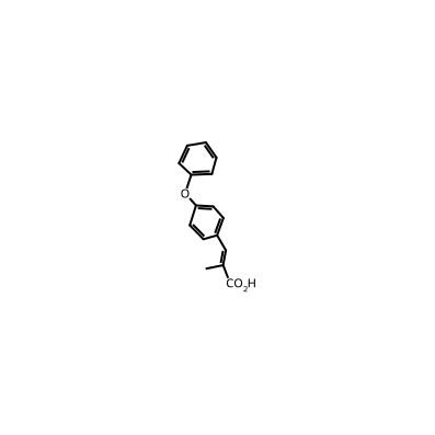 CC(=Cc1ccc(Oc2ccccc2)cc1)C(=O)O